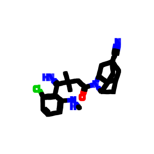 CNc1cccc(Cl)c1C(=N)C(C)(C)CC(=O)N1C2CC3CC1CC(C#N)(C3)C2